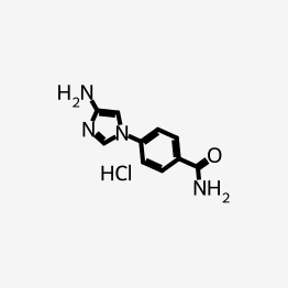 Cl.NC(=O)c1ccc(-n2cnc(N)c2)cc1